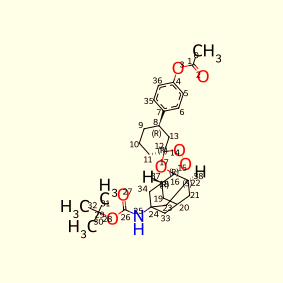 CC(=O)Oc1ccc([C@@H]2CCC[C@]3(C2)OO[C@@]2(O3)[C@@H]3CC4C[C@H]2CC(NC(=O)OC(C)(C)C)(C4)C3)cc1